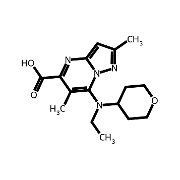 CCN(c1c(C)c(C(=O)O)nc2cc(C)nn12)C1CCOCC1